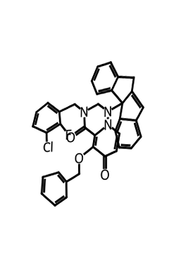 O=C1c2c(OCc3ccccc3)c(=O)ccn2N(C23C(=Cc4ccccc42)Cc2ccccc23)CN1Cc1cccc(Cl)c1F